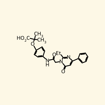 CCc1nc(-c2ccccc2)cc(=O)n1CC(=O)Nc1ccc(OC(C)(C)C(=O)O)cc1